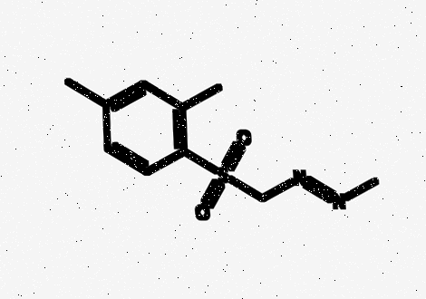 CN=NCS(=O)(=O)c1ccc(C)cc1C